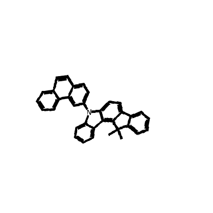 CC1(C)c2ccccc2-c2ccc3c(c21)c1ccccc1n3-c1ccc2ccc3ccccc3c2c1